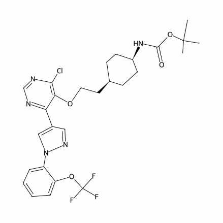 CC(C)(C)OC(=O)N[C@H]1CC[C@@H](CCOc2c(Cl)ncnc2-c2cnn(-c3ccccc3OC(F)(F)F)c2)CC1